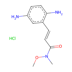 CON(C)C(=O)/C=C/c1cc(N)ccc1N.Cl